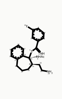 CC(=O)N[C@@]1(SC(=N)c2cccc(F)c2)c2ccccc2CCC[C@@H]1CCN